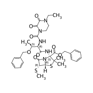 CCN1CCN(C(=O)N[C@@H](C(=O)N[C@@]2(C(=O)OCc3ccccc3)N3C(=O)[C@@H](SC)[C@H]3SC2(C)C)[C@H](C)OCc2ccccc2)C(=O)C1=O